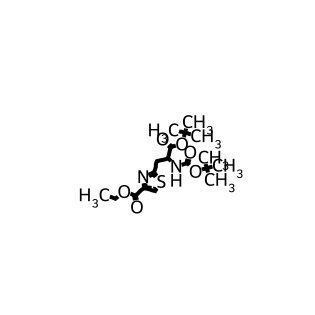 CCOC(=O)c1csc(CC(NC(=O)OC(C)(C)C)C(=O)OC(C)(C)C)n1